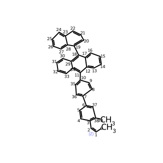 C/C=C\c1ccc(-c2ccc(-c3c4ccccc4c(-c4cccc5ccccc45)c4ccccc34)cc2)cc1C